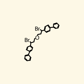 BrC(CCOCCC(Br)c1ccc(-c2ccccc2)cc1)c1ccc(-c2ccccc2)cc1